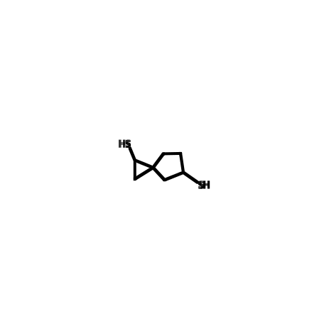 SC1CCC2(C1)CC2S